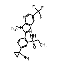 CCS(=N)(=O)c1cc(C2(C#N)CC2)ccc1-c1nc2cc(C(F)(F)F)cnc2n1C